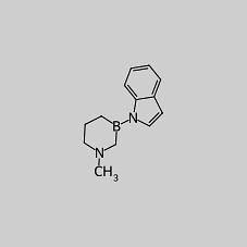 CN1CCCB(n2ccc3ccccc32)C1